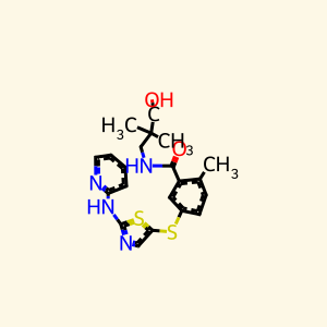 Cc1ccc(Sc2cnc(Nc3ccccn3)s2)cc1C(=O)NCC(C)(C)CO